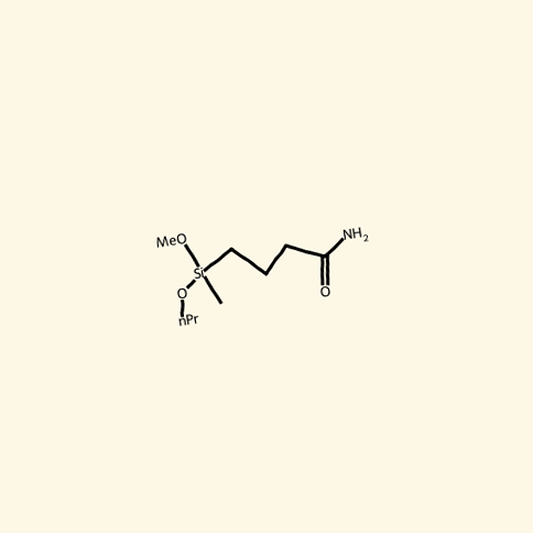 CCCO[Si](C)(CCCC(N)=O)OC